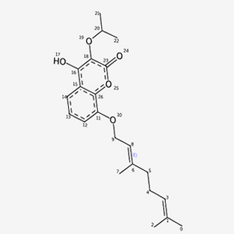 CC(C)=CCC/C(C)=C/COc1cccc2c(O)c(OC(C)C)c(=O)oc12